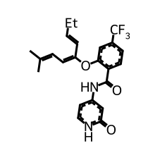 CC/C=C/C(=C\C=C(C)C)Oc1cc(C(F)(F)F)ccc1C(=O)Nc1cc[nH]c(=O)c1